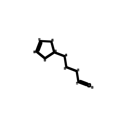 O=CCCCC1CC=CC1